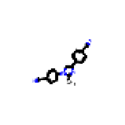 Cc1nc(-c2ccc(C#N)cc2)cn1-c1ccc(C#N)cc1